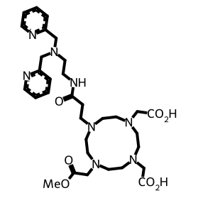 COC(=O)CN1CCN(CCC(=O)NCCN(Cc2ccccn2)Cc2ccccn2)CCN(CC(=O)O)CCN(CC(=O)O)CC1